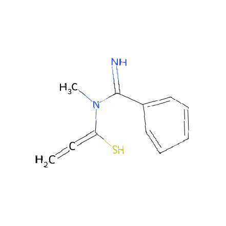 C=C=C(S)N(C)C(=N)c1ccccc1